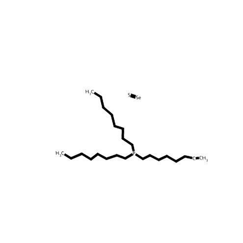 CCCCCCCCP(CCCCCCCC)CCCCCCCC.S=[Se]